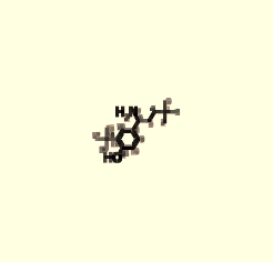 CC(C)(C)CCC(N)c1ccc(O)c(C(C)(C)C)c1